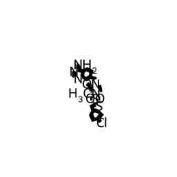 CC1C(=O)N(Cc2ccc3c(N)ncnc3c2)CCN1S(=O)(=O)c1cc2ccc(Cl)cc2s1